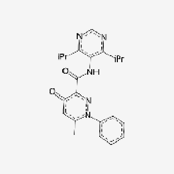 Cc1cc(=O)c(C(=O)Nc2c(C(C)C)ncnc2C(C)C)nn1-c1ccccc1